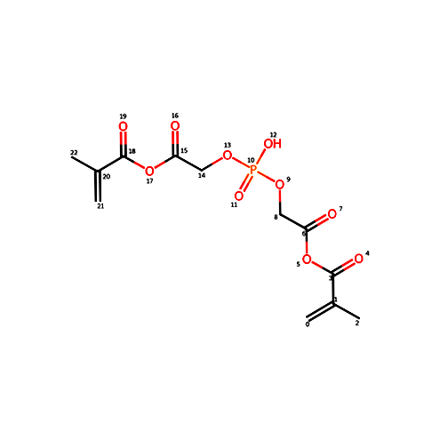 C=C(C)C(=O)OC(=O)COP(=O)(O)OCC(=O)OC(=O)C(=C)C